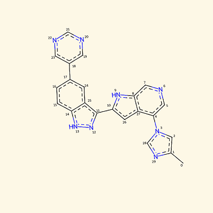 Cc1cn(-c2cncc3[nH]c(-c4n[nH]c5ccc(-c6cncnc6)cc45)cc23)cn1